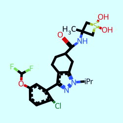 CC(C)n1nc(-c2cc(OC(F)F)ccc2Cl)c2c1CC(C(=O)NC1(C)CS(O)(O)C1)CC2